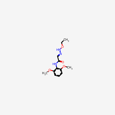 CCON/N=C/C(=O)Nc1c(OC)cccc1OC